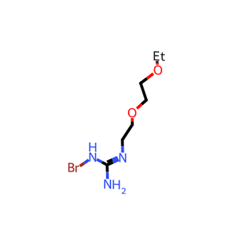 CCOCCOCCN=C(N)NBr